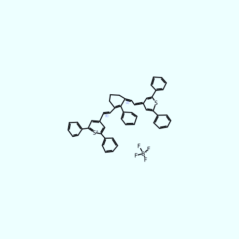 C(/C=C1/CCCC(/C=C/c2cc(-c3ccccc3)[s+]c(-c3ccccc3)c2)=C1c1ccccc1)=C1C=C(c2ccccc2)SC(c2ccccc2)=C1.F[B-](F)(F)F